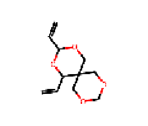 C=CC1OCC2(COCOC2)C(C=C)O1